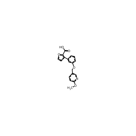 COc1ccc(COc2cccc(-c3ccoc3C(=O)O)c2)cn1